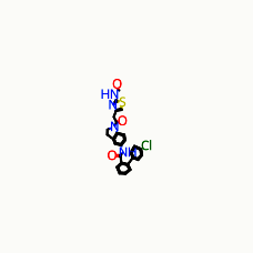 O=CNc1nc(CC(=O)N2CCc3cc(NC(=O)c4ccccc4-c4ccc(Cl)cc4)ccc32)cs1